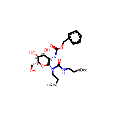 CCCCCCCCCCCCNC(=O)N(CCCCCCCCCCCC)[C@@H]1O[C@H](CO)[C@@H](O)[C@H](O)[C@@H]1NC(=O)OCc1ccccc1